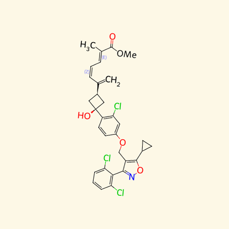 C=C(/C=C\C=C(/C)C(=O)OC)[C@H]1C[C@](O)(c2ccc(OCc3c(-c4c(Cl)cccc4Cl)noc3C3CC3)cc2Cl)C1